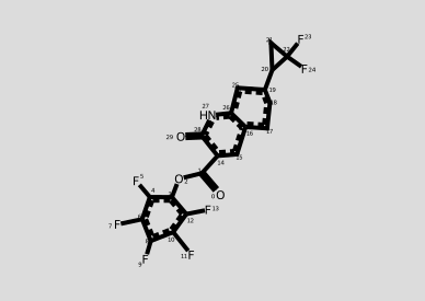 O=C(Oc1c(F)c(F)c(F)c(F)c1F)c1cc2ccc(C3CC3(F)F)cc2[nH]c1=O